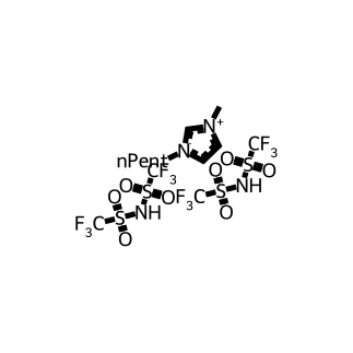 CCCCCn1cc[n+](C)c1.O=S(=O)(NS(=O)(=O)C(F)(F)F)C(F)(F)F.O=S(=O)(NS(=O)(=O)C(F)(F)F)C(F)(F)F